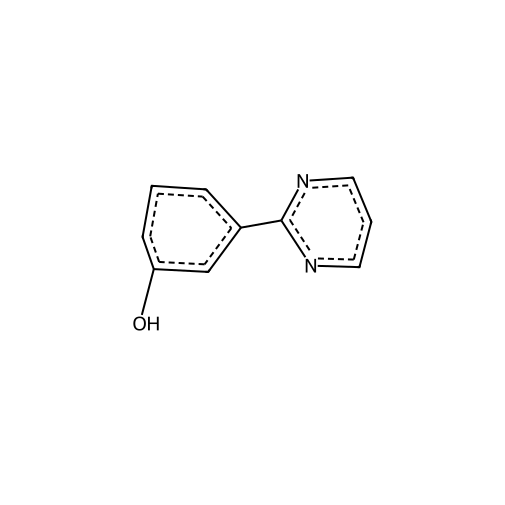 Oc1cccc(-c2ncccn2)c1